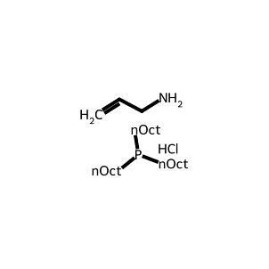 C=CCN.CCCCCCCCP(CCCCCCCC)CCCCCCCC.Cl